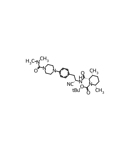 C[C@@H]1CC[C@H](C)N(C(=O)OC(C)(C)C)[C@@H]1C(=O)N[C@H](C#N)Cc1ccc(N2CCN(C(=O)N(C)C)CC2)cc1